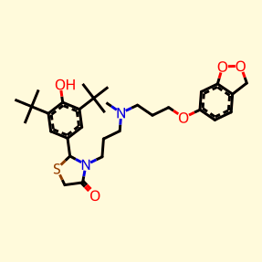 CN(CCCOc1ccc2c(c1)OOC2)CCCN1C(=O)CSC1c1cc(C(C)(C)C)c(O)c(C(C)(C)C)c1